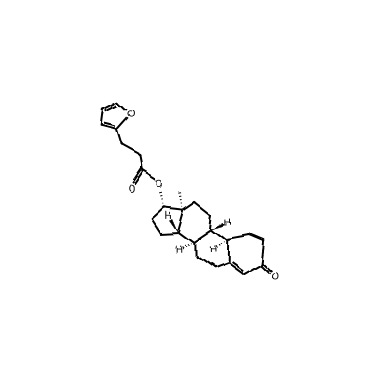 C[C@]12CC[C@H]3[C@@H](CCC4=CC(=O)CC[C@@H]43)[C@@H]1CC[C@@H]2OC(=O)CCc1ccco1